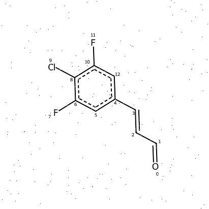 O=C/C=C/c1cc(F)c(Cl)c(F)c1